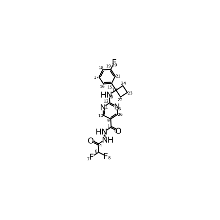 O=C(NNC(=O)C(F)F)c1cnc(NC2(c3cccc(F)c3)CCC2)nc1